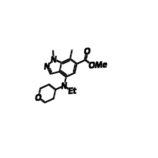 CCN(c1cc(C(=O)OC)c(C)c2c1cnn2C)C1CCOCC1